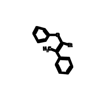 CCC(Oc1ccccc1)=C(C)c1ccccc1